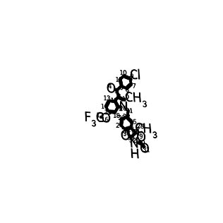 Cc1c(C(=O)c2ccc(Cl)cc2)c2ccc(OC(F)(F)F)cc2n1Cc1cccc([C@@]2(C)OC(=O)NC2=O)c1